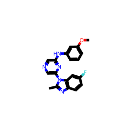 COc1cccc(Nc2cncc(-n3c(C)nc4ccc(F)cc43)n2)c1